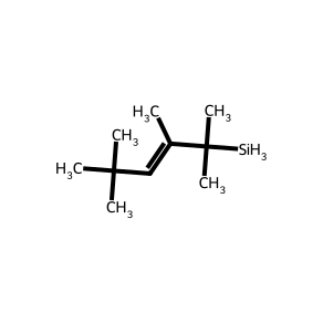 CC(=CC(C)(C)C)C(C)(C)[SiH3]